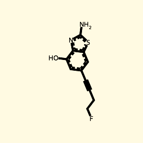 Nc1nc2c(O)cc(C#CCCF)cc2s1